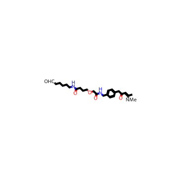 CN/C(C)=C\C(=O)Cc1ccc(CNC(=O)COCCCC(=O)NCCCCCC=O)cc1